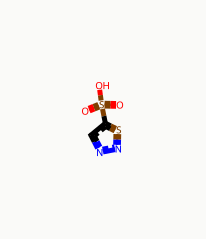 O=S(=O)(O)c1cnns1